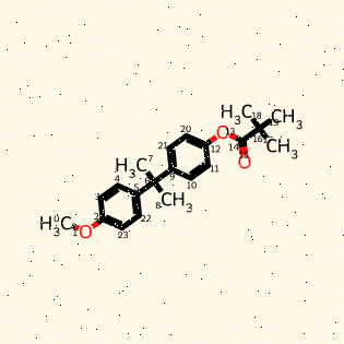 COc1ccc(C(C)(C)c2ccc(OC(=O)C(C)(C)C)cc2)cc1